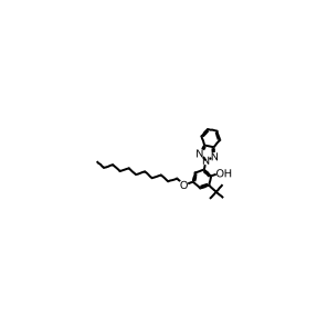 CCCCCCCCCCCOc1cc(-n2nc3ccccc3n2)c(O)c(C(C)(C)C)c1